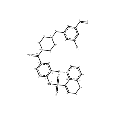 C=Cc1cc(F)cc(CN2CCN(C(=O)c3ccc(NS(=O)(=O)C4=CCCc5cccnc54)c(F)c3)CC2)c1